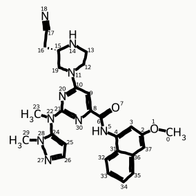 COc1cc(NC(=O)c2cc(N3CCN[C@@H](CC#N)C3)nc(N(C)c3ccnn3C)n2)c2ccccc2c1